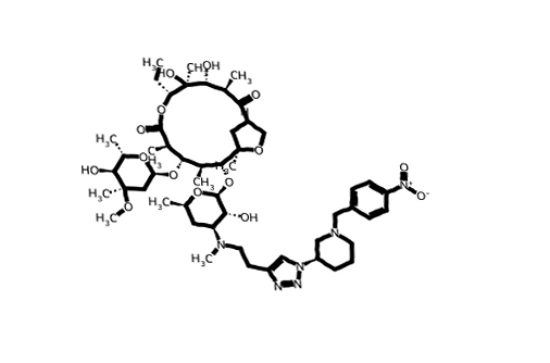 CC[C@H]1OC(=O)[C@H](C)[C@@H](O[C@H]2C[C@@](C)(OC)[C@@H](O)[C@H](C)O2)[C@H](C)[C@@H](O[C@@H]2O[C@H](C)C[C@H](N(C)CCc3cn([C@@H]4CCCN(Cc5ccc([N+](=O)[O-])cc5)C4)nn3)[C@H]2O)[C@@]2(C)C[C@@H](CO2)C(=O)[C@H](C)[C@@H](O)[C@]1(C)O